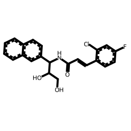 O=C(C=Cc1ccc(F)cc1Cl)NC(c1ccc2ccccc2c1)C(O)CO